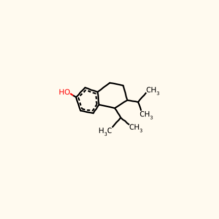 CC(C)C1CCc2cc(O)ccc2C1C(C)C